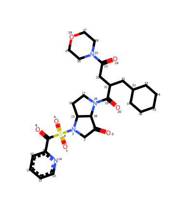 O=C1CN(S(=O)(=O)C(=O)c2ccccn2)C2CCN(C(=O)C(CC(=O)N3CCOCC3)CC3CCCCC3)C12